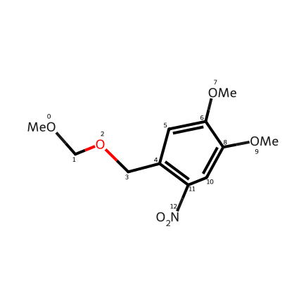 COCOCc1cc(OC)c(OC)cc1[N+](=O)[O-]